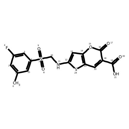 Cc1cc(F)cc(S(=O)(=O)CNc2cc3oc(=O)c(C(=O)O)cc3s2)c1